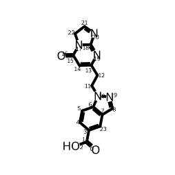 O=C(O)c1ccc2c(cnn2CCc2cc(=O)n3c(n2)N=CC3)c1